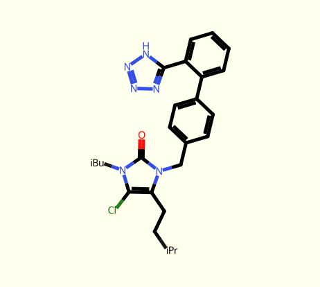 CCC(C)n1c(Cl)c(CCC(C)C)n(Cc2ccc(-c3ccccc3-c3nnn[nH]3)cc2)c1=O